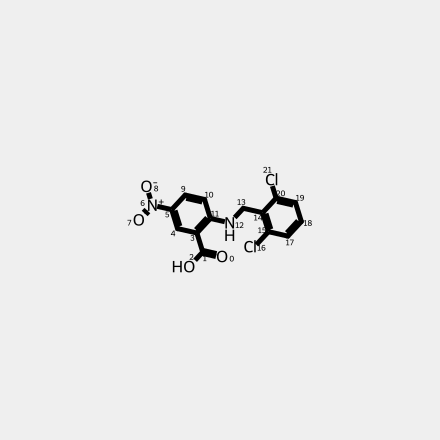 O=C(O)c1cc([N+](=O)[O-])ccc1NCc1c(Cl)cccc1Cl